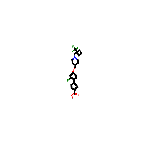 COC(=O)c1ccc(-c2ccc(OCC3CCN(CC4(C(F)(F)F)CCC4)CC3)cc2F)cc1